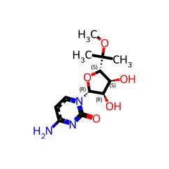 COC(C)(C)[C@H]1O[C@@H](n2ccc(N)nc2=O)[C@H](O)[C@@H]1O